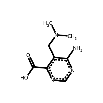 CN(C)Cc1c(N)ncnc1C(=O)O